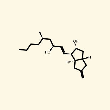 C=C1C[C@H]2C[C@@H](O)[C@H](/C=C/[C@@H](O)C[C@H](C)CCCC)[C@@H]2C1